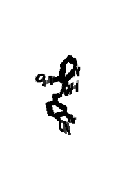 N#Cc1ccc(CNc2ncccc2[N+](=O)[O-])cc1Br